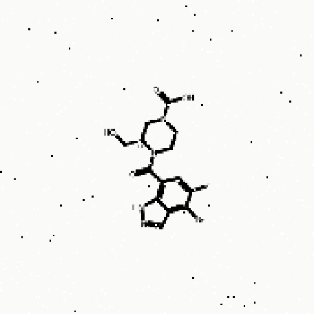 O=C(O)N1CCN(C(=O)c2cc(F)c(Br)c3cn[nH]c23)[C@@H](CO)C1